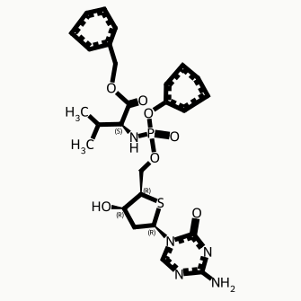 CC(C)[C@H](NP(=O)(OC[C@H]1S[C@@H](n2cnc(N)nc2=O)C[C@H]1O)Oc1ccccc1)C(=O)OCc1ccccc1